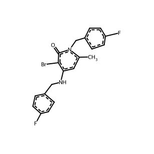 Cc1cc(NCc2ccc(F)cc2)c(Br)c(=O)n1Cc1ccc(F)cc1